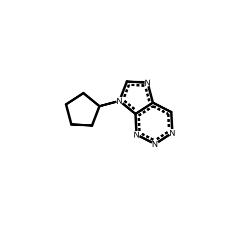 c1nnnc2c1ncn2C1CCCC1